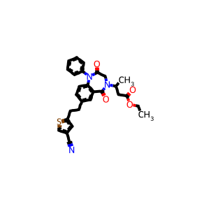 CCOC(=O)CC(C)N1CC(=O)N(c2ccccc2)c2ccc(CCc3cc(C#N)cs3)cc2C1=O